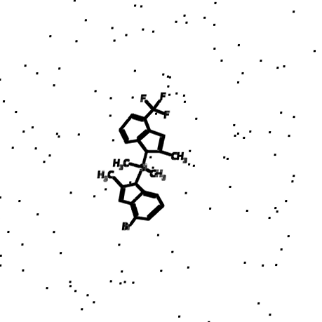 CC1=Cc2c(Br)cccc2C1[Si](C)(C)C1C(C)=Cc2c1cccc2C(F)(F)F